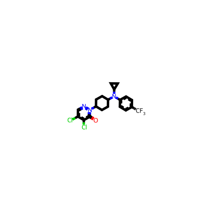 O=c1c(Cl)c(Cl)cnn1C1CCC(N(c2ccc(C(F)(F)F)cc2)C2CC2)CC1